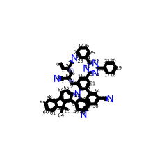 C=C/C(C#N)=C\C(C#N)=C/c1cc(-c2nc(-c3ccccc3)nc(-c3ccccc3)n2)cc(-c2cc(C#N)cc(C#N)c2)c1-n1c2ccccc2c2c3c(ccc21)-c1ccccc1C3(C)C